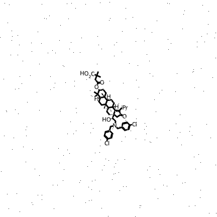 CC(C)C1=C2[C@H]3CC[C@@H]4[C@@]5(C)CC[C@H](OC(=O)CC(C)(C)C(=O)O)C(C)(C)[C@H]5CC[C@@]4(C)[C@]3(C)CC[C@@]2([C@@H](O)CN(Cc2ccc(Cl)cc2)Cc2ccc(Cl)cc2)CC1=O